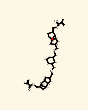 C=C(C)C(=O)OCC1CC2CC1C1CC(COCC3CCCC(COCC4CC5C6CC(COC(=O)C(=C)C)C(C6)C5C4)C3)CC21